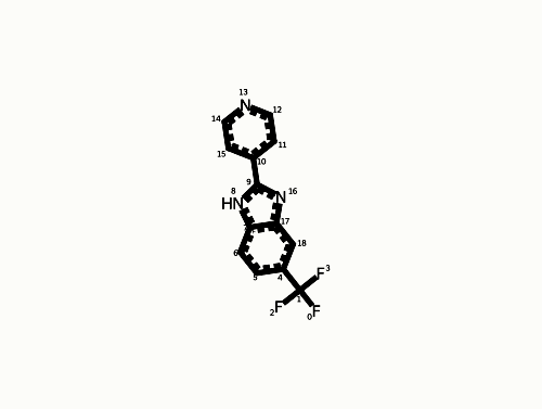 FC(F)(F)c1ccc2[nH]c(-c3ccncc3)nc2c1